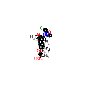 CC(C)C1=C2[C@H]3CC[C@@H]4[C@@]5(C)CC[C@H](OC(=O)[C@H]6C[C@@H](C(=O)O)C6(C)C)C(C)(C)[C@@H]5CC[C@@]4(C)[C@]3(C)CC[C@@]2(CCNCC2(NC(=O)c3ccc(Cl)cc3)CCCC2)CC1=O